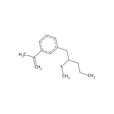 C=C(C)c1cccc(CC(CCC)SC)c1